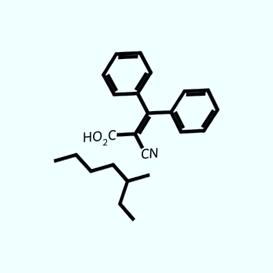 CCCCC(C)CC.N#CC(C(=O)O)=C(c1ccccc1)c1ccccc1